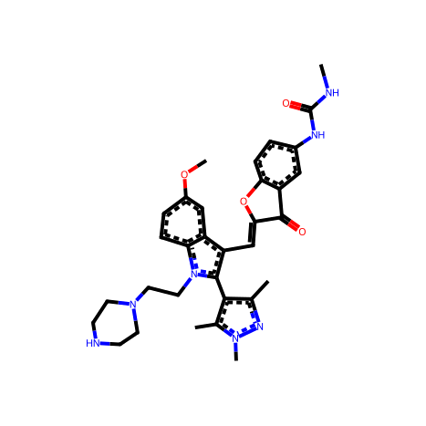 CNC(=O)Nc1ccc2c(c1)C(=O)/C(=C/c1c(-c3c(C)nn(C)c3C)n(CCN3CCNCC3)c3ccc(OC)cc13)O2